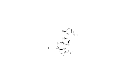 CCCc1noc([C@@H](C)Nc2nccc(N3C(=O)OCC3C(C)C)n2)n1